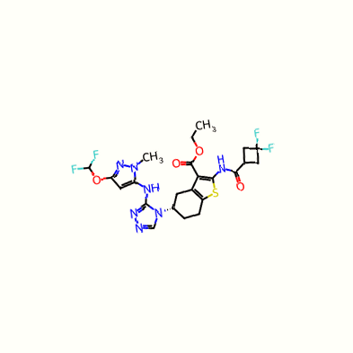 CCOC(=O)c1c(NC(=O)C2CC(F)(F)C2)sc2c1C[C@@H](n1cnnc1Nc1cc(OC(F)F)nn1C)CC2